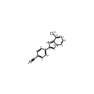 N#Cc1ccc(-c2cn3ccnc(Cl)c3n2)cc1